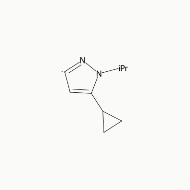 CC(C)n1n[c]cc1C1CC1